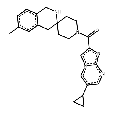 Cc1ccc2c(c1)CC1(CCN(C(=O)c3cn4cc(C5CC5)cnc4n3)CC1)NC2